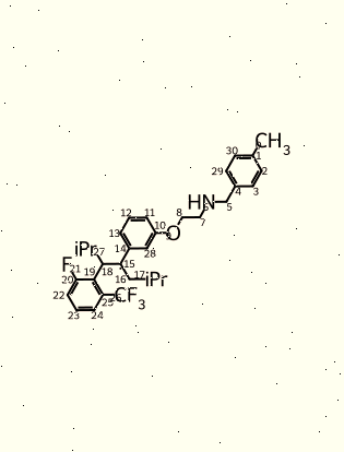 Cc1ccc(CNCCOc2cccc([C](CC(C)C)C(c3c(F)cccc3C(F)(F)F)C(C)C)c2)cc1